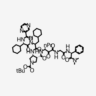 CCC[C@H](NC(=O)[C@@H]1CN(C(=O)OC(C)(C)C)C[C@@H]1NC(=O)C(CC1CCCCC1)NC(=O)[C@@H](NC(=O)c1cnccn1)C1CCCCC1)C(=O)C(=O)NCC(=O)N[C@H](C(=O)N(C)C)c1ccccc1